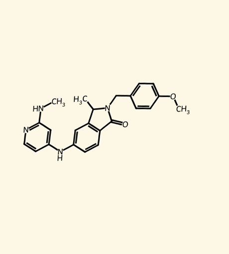 CNc1cc(Nc2ccc3c(c2)C(C)N(Cc2ccc(OC)cc2)C3=O)ccn1